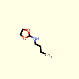 CCCCN[C]1OCCO1